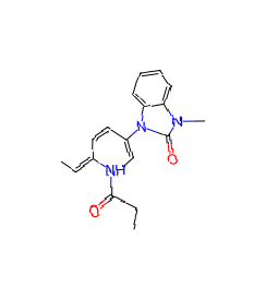 C\C=C(/C=C\C(=C/C)n1c(=O)n(C)c2ccccc21)NC(=O)CC